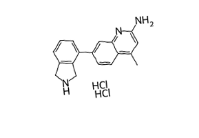 Cc1cc(N)nc2cc(-c3cccc4c3CNC4)ccc12.Cl.Cl